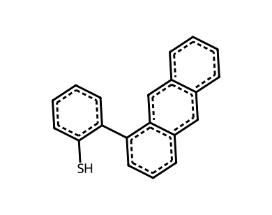 Sc1ccccc1-c1cccc2cc3ccccc3cc12